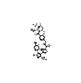 C[C@H]1NCCN(C(=O)c2ccc(CNC(=O)c3ncc(-c4c(C(F)(F)F)n[nH]c4-c4ccc(N)cn4)[nH]3)cc2Cl)[C@H]1C